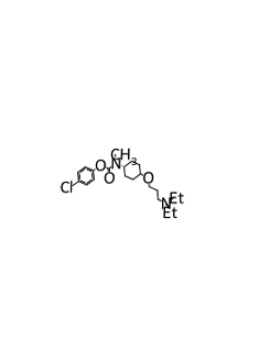 CCN(CC)CCCO[C@H]1CC[C@H](N(C)C(=O)Oc2ccc(Cl)cc2)CC1